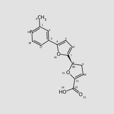 Cc1cc(-c2ccc([C@H]3CC=C(C(=O)O)O3)o2)ccn1